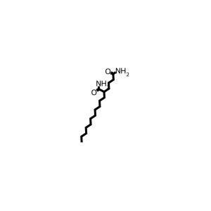 CCCCCCCCCCCC(CCCC(N)=O)C(N)=O